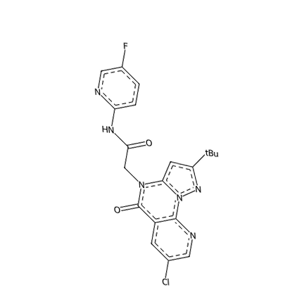 CC(C)(C)c1cc2n(CC(=O)Nc3ccc(F)cn3)c(=O)c3cc(Cl)cnc3n2n1